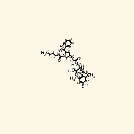 CCCCNC(=O)N1CC(OCC(=O)NCC(NS(=O)(=O)c2c(C)cc(C)cc2C)C(=O)O)CC1C(N)c1ccccn1